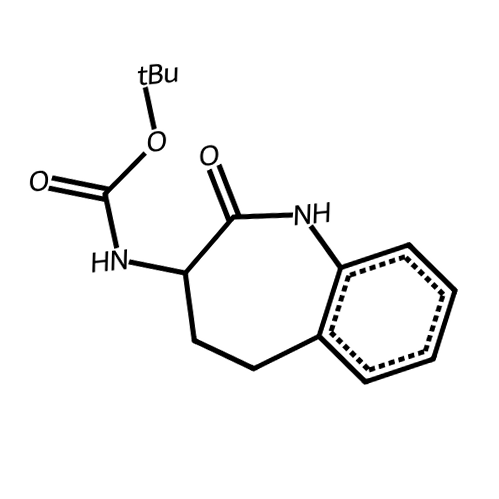 CC(C)(C)OC(=O)NC1CCc2ccccc2NC1=O